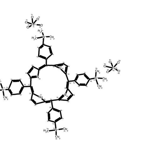 C[N+](C)(C)c1ccc(-c2c3nc(c(-c4ccc([N+](C)(C)C)cc4)c4ccc([nH]4)c(-c4ccc([N+](C)(C)C)cc4)c4nc(c(-c5ccc([N+](C)(C)C)cc5)c5ccc2[nH]5)C=C4)C=C3)cc1.[Cl][Fe-2]([Cl])([Cl])([Cl])[Cl].[Cl][Fe-2]([Cl])([Cl])([Cl])[Cl]